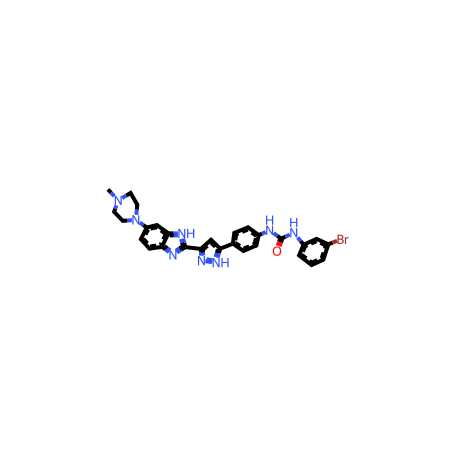 CN1CCN(c2ccc3nc(-c4cc(-c5ccc(NC(=O)Nc6cccc(Br)c6)cc5)[nH]n4)[nH]c3c2)CC1